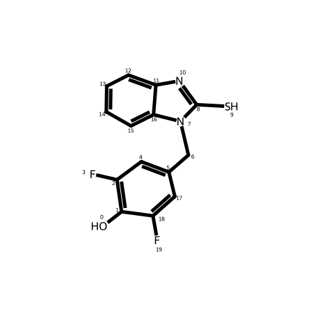 Oc1c(F)cc(Cn2c(S)nc3ccccc32)cc1F